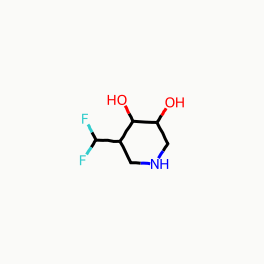 OC1CNCC(C(F)F)C1O